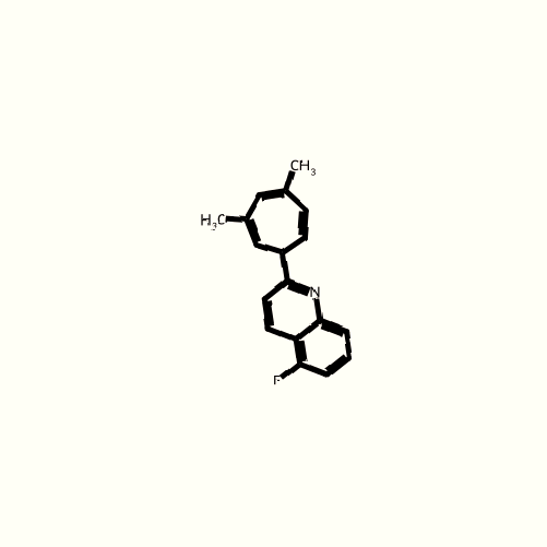 CC1=CC(C)=CC(c2ccc3c(F)cccc3n2)C=C1